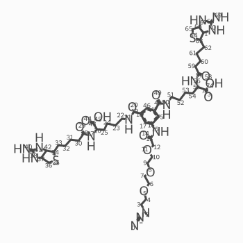 [N-]=[N+]=NCCOCCOCCOCC(=O)Nc1cc(C(=O)NCCCCC(NC(=O)CCCCC2SCC3NC(=N)NC32)C(=O)O)cc(C(=O)NCCCCC(NC(=O)CCCCC2SCC3NC(=N)NC32)C(=O)O)c1